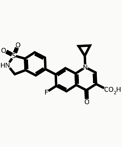 O=C(O)c1cn(C2CC2)c2cc(-c3ccc4c(c3)CNS4(=O)=O)c(F)cc2c1=O